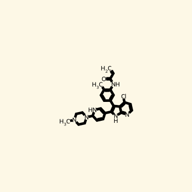 C=CC(=O)Nc1cc(-c2c(C3=CNC(N4CCN(C)CC4)C=C3)[nH]c3nccc(Cl)c23)ccc1C